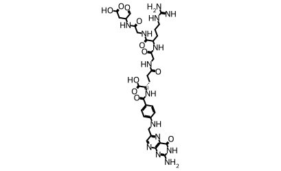 N=C(N)NCCCC(NC(=O)CNC(=O)CC[C@H](NC(=O)c1ccc(NCc2cnc3nc(N)[nH]c(=O)c3n2)cc1)C(=O)O)C(=O)NCC(=O)NC(C=O)CC(=O)O